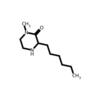 CCCCCCC1NCCN(C)C1=O